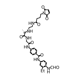 CCc1cc(NC(=O)c2ccc(NC(=O)CNC(=O)[C@H](C)NCCNC(=O)CCCN3C(=O)C=CC3=O)cc2)ccc1NC=O